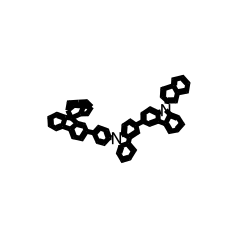 c1ccc2c(c1)-c1ccc(-c3ccc(-n4c5ccccc5c5cc(-c6ccc7c(c6)c6ccccc6n7-c6ccc7ccccc7c6)ccc54)cc3)cc1C21C2CC3CC(C2)CC1C3